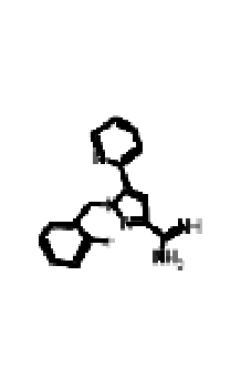 N=C(N)c1cc(-c2ccccn2)n(Cc2ccccc2F)n1